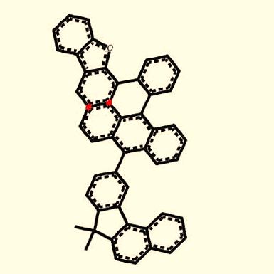 CC1(C)c2ccc(-c3c4ccccc4c(-c4ccccc4-c4cccc5c4oc4ccccc45)c4ccccc34)cc2-c2c1ccc1ccccc21